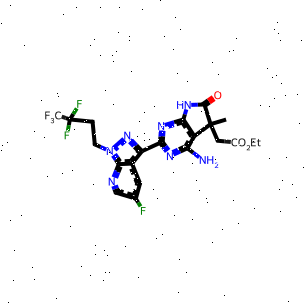 CCOC(=O)CC1(C)C(=O)Nc2nc(-c3nn(CCC(F)(F)C(F)(F)F)c4ncc(F)cc34)nc(N)c21